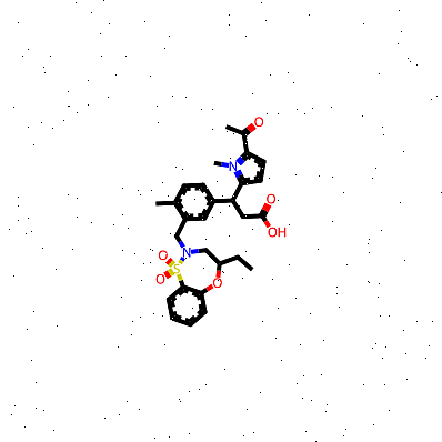 CCC1CN(Cc2cc(C(CC(=O)O)c3ccc(C(C)=O)n3C)ccc2C)S(=O)(=O)c2ccccc2O1